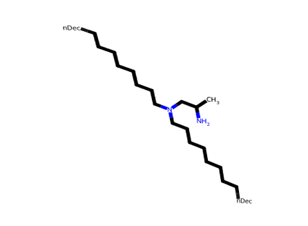 CCCCCCCCCCCCCCCCCCN(CCCCCCCCCCCCCCCCCC)CC(C)N